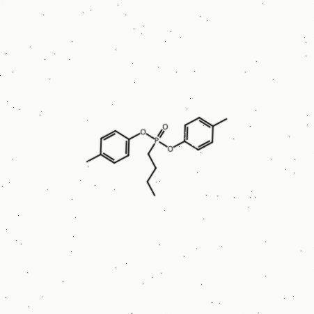 CCCCP(=O)(Oc1ccc(C)cc1)Oc1ccc(C)cc1